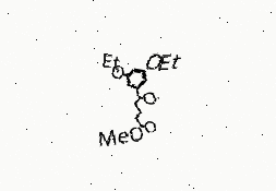 CCOc1cc(OCC)cc(C([O])CCCC(=O)OC)c1